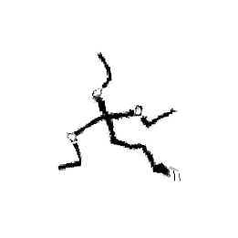 CCOC(CC[CH2][Ti])(OCC)OCC